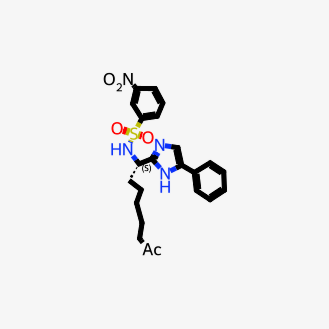 CC(=O)CCCCC[C@H](NS(=O)(=O)c1cccc([N+](=O)[O-])c1)c1ncc(-c2ccccc2)[nH]1